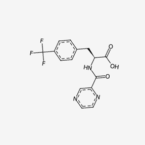 O=C(N[C@@H](Cc1ccc(C(F)(F)F)cc1)C(=O)O)c1cnccn1